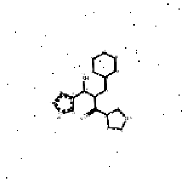 O=C(C1CCOC1)C(CC1CCCCC1)C(S)c1ccoc1